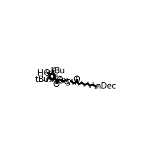 CCCCCCCCCCCCCCCCCC(=O)CCSCCOC(=O)c1cc(C(C)(C)C)c(O)c(C(C)(C)C)c1